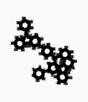 c1ccc(-c2cccc(N(c3ccc(-c4ccc5c(c4)c4ccccc4n5-c4ccccc4)cc3)c3cccc4ccc5c6ccccc6oc5c34)c2)cc1